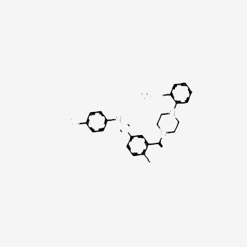 CCCCOc1ccc(NS(=O)(=O)c2ccc(C)c(C(=O)N3CCN(c4ccccc4OC)CC3)c2)cc1